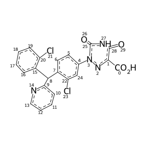 O=C(O)c1nn(-c2ccc(C(c3ccccn3)c3ccccc3Cl)c(Cl)c2)c(=O)[nH]c1=O